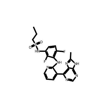 CCCS(=O)(=O)Nc1ccc(F)c(Nc2ncccc2-c2ncnc3[nH]c(C)nc23)c1F